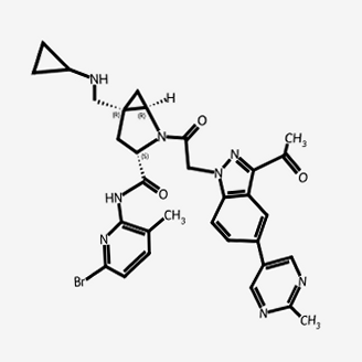 CC(=O)c1nn(CC(=O)N2[C@H](C(=O)Nc3nc(Br)ccc3C)C[C@@]3(CNC4CC4)C[C@@H]23)c2ccc(-c3cnc(C)nc3)cc12